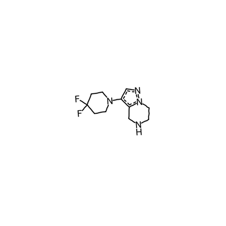 FC1(F)CCN(c2cnn3c2CNCC3)CC1